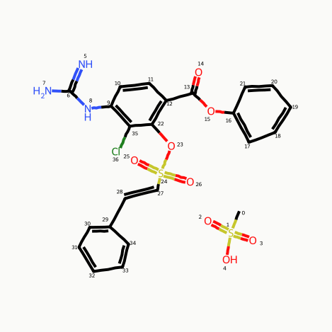 CS(=O)(=O)O.N=C(N)Nc1ccc(C(=O)Oc2ccccc2)c(OS(=O)(=O)C=Cc2ccccc2)c1Cl